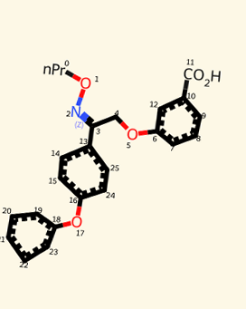 CCCO/N=C(\COc1cccc(C(=O)O)c1)c1ccc(Oc2ccccc2)cc1